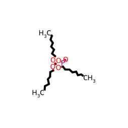 CCCCCCCCOC(OCCCCCCCC)(OCCCCCCCC)OP=O